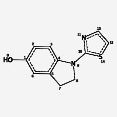 Oc1ccc2c(c1)CCN2c1nccs1